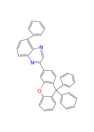 c1ccc(-c2cccc3nc(-c4ccc5c(c4)Oc4ccccc4C5(c4ccccc4)c4ccccc4)cnc23)cc1